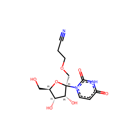 N#CCCOC[C@@]1(n2ccc(=O)[nH]c2=O)O[C@H](CO)[C@@H](O)[C@H]1O